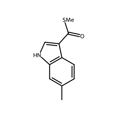 CSC(=O)c1c[nH]c2cc(C)ccc12